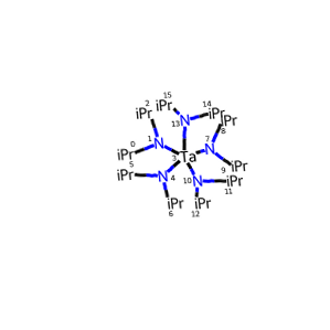 CC(C)[N](C(C)C)[Ta]([N](C(C)C)C(C)C)([N](C(C)C)C(C)C)([N](C(C)C)C(C)C)[N](C(C)C)C(C)C